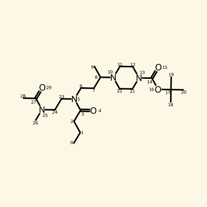 CCCC(=O)N(CCC(C)N1CCN(C(=O)OC(C)(C)C)CC1)CCN(C)C(C)=O